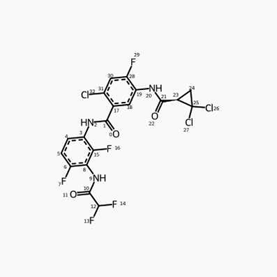 O=C(Nc1ccc(F)c(NC(=O)C(F)F)c1F)c1cc(NC(=O)[C@H]2CC2(Cl)Cl)c(F)cc1Cl